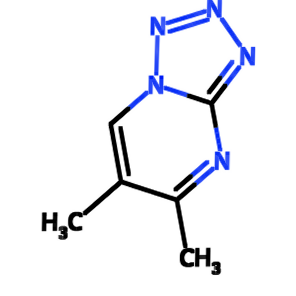 Cc1cn2nnnc2nc1C